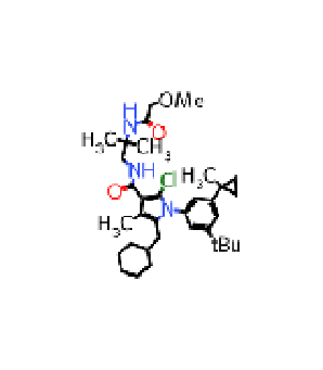 COCC(=O)NC(C)(C)CNC(=O)c1c(C)c(CC2CCCCC2)n(-c2cc(C(C)(C)C)cc(C3(C)CC3)c2)c1Cl